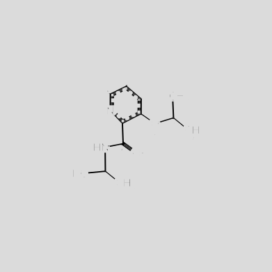 CC(C)NC(=O)c1ncccc1OC(C)C